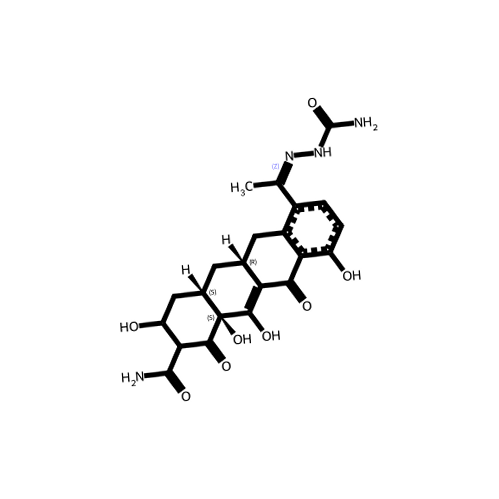 C/C(=N/NC(N)=O)c1ccc(O)c2c1C[C@H]1C[C@H]3CC(O)C(C(N)=O)C(=O)[C@@]3(O)C(O)=C1C2=O